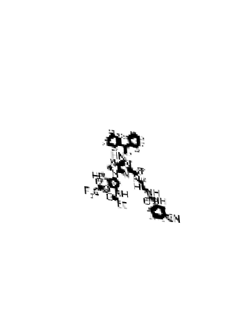 CCC(=O)N[C@H]1C[C@@H](n2cnc3c(NCC(c4ccccc4)c4ccccc4)nc(C(=O)NCCNC(=O)Nc4cccc(C#N)c4)nc32)[C@H](O)[C@@H]1OC(=O)C(F)(F)F